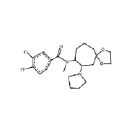 CN(C(=O)c1ccc(Cl)c(Cl)c1)C1CCCC2(CC1N1CCCC1)OCCO2